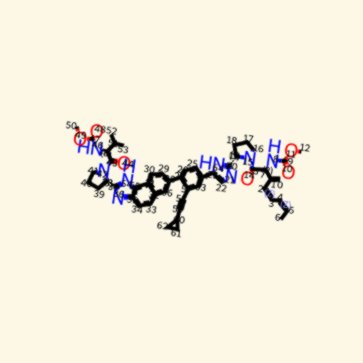 C=C(/C=C\C=C/C)[C@@H](NC(=O)OC)C(=O)N1CCC[C@H]1c1ncc(-c2ccc(-c3ccc4c(ccc5nc([C@@H]6CCCN6C(=O)[C@@H](NC(=O)OC)C(C)C)[nH]c54)c3)c(C#CC3CC3)c2)[nH]1